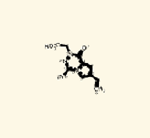 C=Cc1cc2c(=O)n(CC(=O)O)nc(C(C)C)n2c1